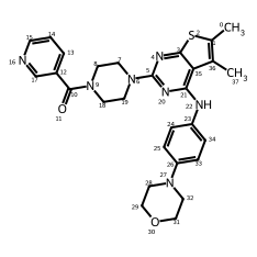 Cc1sc2nc(N3CCN(C(=O)c4cccnc4)CC3)nc(Nc3ccc(N4CCOCC4)cc3)c2c1C